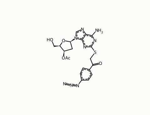 CC(=O)O[C@@H]1C[C@H](n2cnc3c(N)nc(SCC(=O)c4ccc(N=[N+]=[N-])cc4)nc32)O[C@@H]1CO